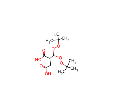 CC(C)(C)OOC(OOC(C)(C)C)C(CC(=O)O)C(=O)O